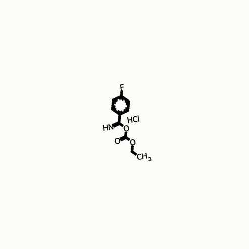 CCOC(=O)OC(=N)c1ccc(F)cc1.Cl